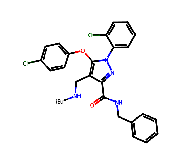 CCC(C)NCc1c(C(=O)NCc2ccccc2)nn(-c2ccccc2Cl)c1Oc1ccc(Cl)cc1